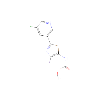 CC(C)(C)OC(=O)Nc1sc(-c2cncc(F)c2)nc1I